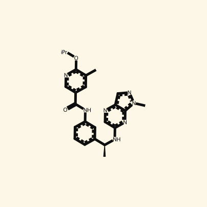 Cc1cc(C(=O)Nc2cccc([C@H](C)Nc3cnc4cnn(C)c4n3)c2)cnc1OC(C)C